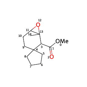 COC(=O)C1C2(CCCC2)CCC2OC21C